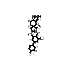 Cc1ccc(-c2cc(Cl)c(CN3CCC4(CCc5n[nH]cc5C4)C3=O)c(Cl)c2)cc1